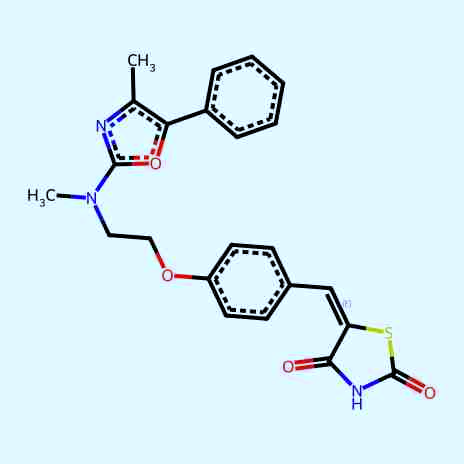 Cc1nc(N(C)CCOc2ccc(/C=C3/SC(=O)NC3=O)cc2)oc1-c1ccccc1